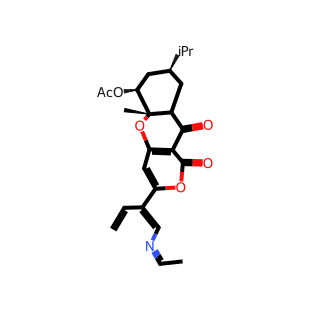 C=C/C(=C\N=C/C)c1cc2c(c(=O)o1)C(=O)C1C[C@H](C(C)C)C[C@H](OC(C)=O)[C@@]1(C)O2